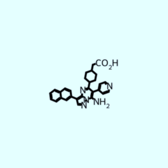 Nc1c(-c2ccncc2)c(C2CCC(CC(=O)O)CC2)nc2c(-c3ccc4ccccc4c3)cnn12